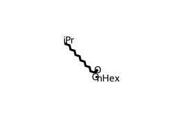 CCCCCCOC(=O)CCCCCCCCCCCC(C)C